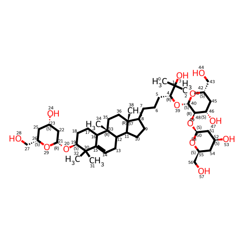 CC(C)(O)[C@@H](CCCC1CCC2C3CC=C4C(CC[C@H](O[C@H]5C[C@@H](O)C[C@@H](CO)O5)C4(C)C)[C@]3(C)CC[C@]12C)O[C@@H]1O[C@H](CO)C[C@H](O)[C@H]1O[C@H]1C[C@@H](O)C[C@@H](CO)O1